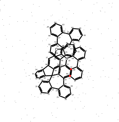 c1ccc(-c2ccccc2N(c2ccc3c(c2)C2(c4ccccc4-c4ccccc4-3)c3ccccc3-c3cc4oc5ccccc5c4cc32)c2cccc3c2Oc2ccccc2-c2ccccc2-3)cc1